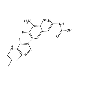 Cc1c(-c2cc3cc(NC(=O)O)ncc3c(N)c2F)cnc2c1NCC(C)C2